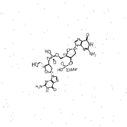 COP(=O)(O)OC1C[C@H](n2cnc3c(=O)[nH]c(N)nc32)O[C@@H]1COP(=O)(O)OC1C[C@H](n2cnc3c(=O)[nH]c(N)nc32)O[C@@H]1CO